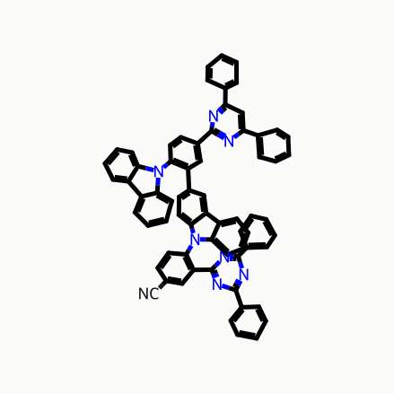 N#Cc1ccc(-n2c3ccccc3c3cc(-c4cc(-c5nc(-c6ccccc6)cc(-c6ccccc6)n5)ccc4-n4c5ccccc5c5ccccc54)ccc32)c(-c2nc(-c3ccccc3)nc(-c3ccccc3)n2)c1